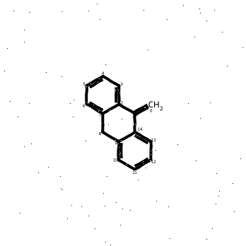 C=C1c2ccccc2Cc2ccccc21